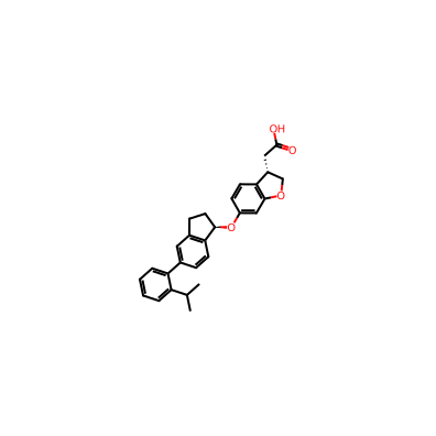 CC(C)c1ccccc1-c1ccc2c(c1)CC[C@H]2Oc1ccc2c(c1)OC[C@H]2CC(=O)O